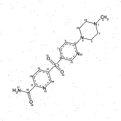 CN1CCN(c2ccc(S(=O)(=O)c3ccc(C(N)=O)nc3)cn2)CC1